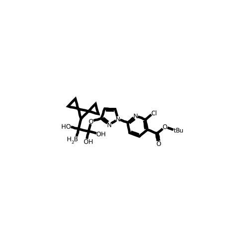 BC(O)(C1C2(CC2)C12CC2)C(O)(O)Oc1ccn(-c2ccc(C(=O)OC(C)(C)C)c(Cl)n2)n1